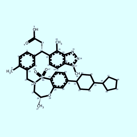 Cc1ccc([C@H](CC(=O)O)c2ccc3c(nnn3C)c2C)cc1CN1C[C@@H](C)Oc2cc(C3CCC(C4CCCC4)CC3)ccc2S1(=O)=O